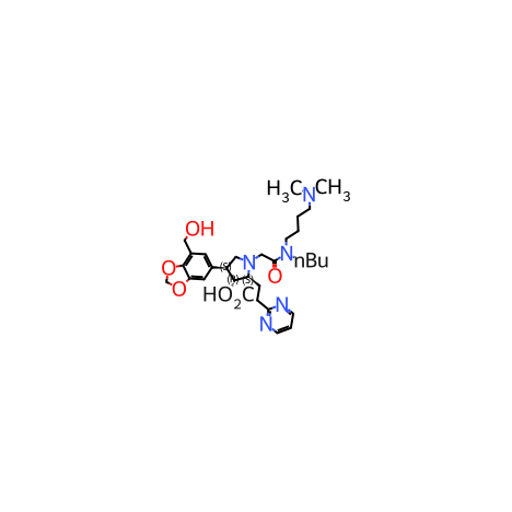 CCCCN(CCCCN(C)C)C(=O)CN1C[C@H](c2cc(CO)c3c(c2)OCO3)[C@@H](C(=O)O)[C@@H]1CCc1ncccn1